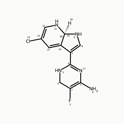 NC1=C(F)CNC(C2=CN[C@@H]3NC=C(Cl)C=C23)=N1